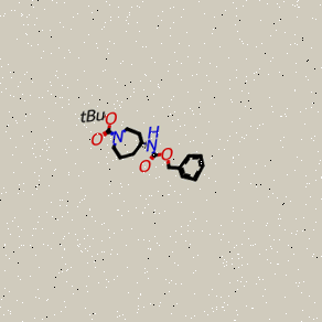 CC(C)(C)OC(=O)N1CCC[C@@H](NC(=O)OCc2ccccc2)CC1